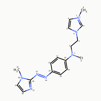 CCN(CCn1cc[n+](C)c1)c1ccc(N=Nc2nccn2C)cc1